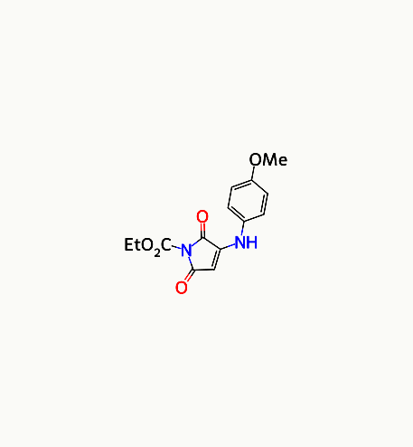 CCOC(=O)N1C(=O)C=C(Nc2ccc(OC)cc2)C1=O